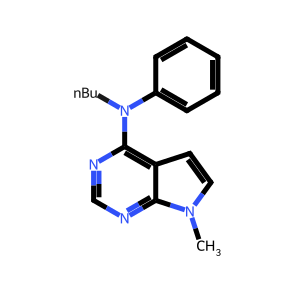 CCCCN(c1ccccc1)c1ncnc2c1ccn2C